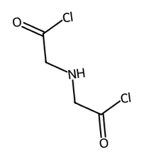 O=C(Cl)CNCC(=O)Cl